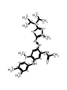 COc1cc(N=Nc2sc(N(C(C)C)C(C)C)n[n+]2C)c(NC(C)=O)cc1Nc1ccc(C)c(C)c1